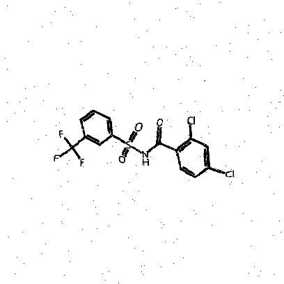 O=C(NS(=O)(=O)c1cccc(C(F)(F)F)c1)c1ccc(Cl)cc1Cl